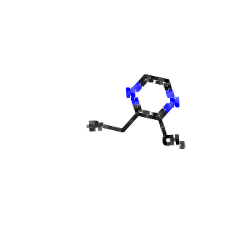 C[C](C)Cc1nccnc1C